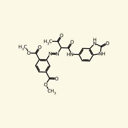 COC(=O)c1ccc(C(=O)OC)c(/N=N/C(C(C)=O)C(=O)Nc2ccc3[nH]c(=O)[nH]c3c2)c1